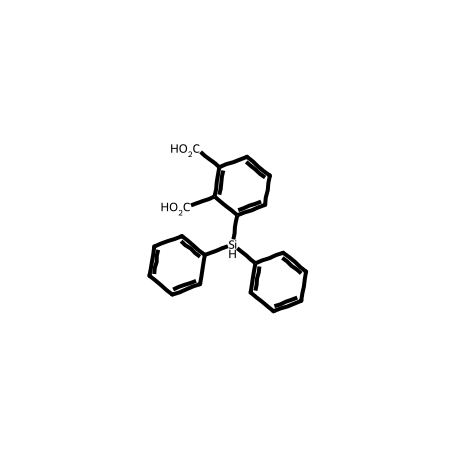 O=C(O)c1cccc([SiH](c2ccccc2)c2ccccc2)c1C(=O)O